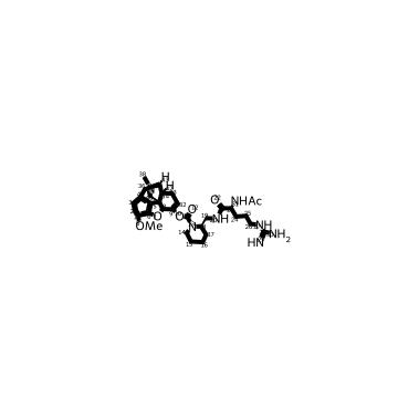 COc1ccc2c3c1OC1C(OC(=O)N4CCCC[C@@H]4CNC(=O)[C@H](CCCNC(=N)N)NC(C)=O)=CC[C@H]4[C@@H](C2)N(C)CC[C@]314